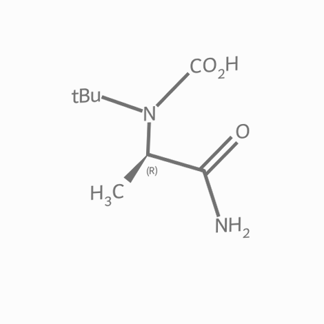 C[C@H](C(N)=O)N(C(=O)O)C(C)(C)C